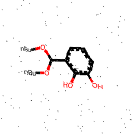 CCCCOC(OCCCC)c1cccc(O)c1O